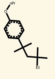 CCCOc1ccc(C(C)(C)CC(C)(C)CC)cc1